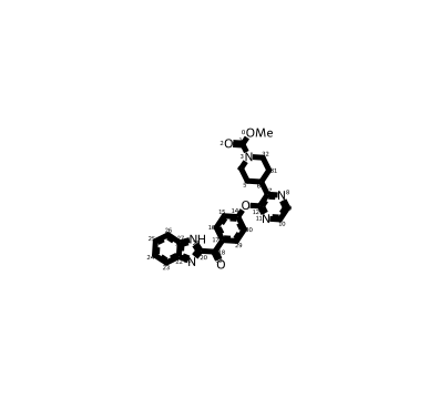 COC(=O)N1CCC(c2nccnc2Oc2ccc(C(=O)c3nc4ccccc4[nH]3)cc2)CC1